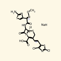 CO/N=C(/C(=O)NC1C(=O)N2C(C(=O)O)=C(/C=C/c3sc(Cl)nc3Cl)CS[C@H]12)c1csc(N)n1.[NaH]